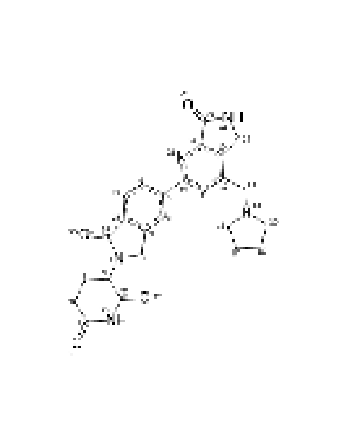 O=C1CCC(N2Cc3cc(-c4cc(CN5CCCC5)c5c(n4)C(=O)NC5)ccc3C2=O)C(=O)N1